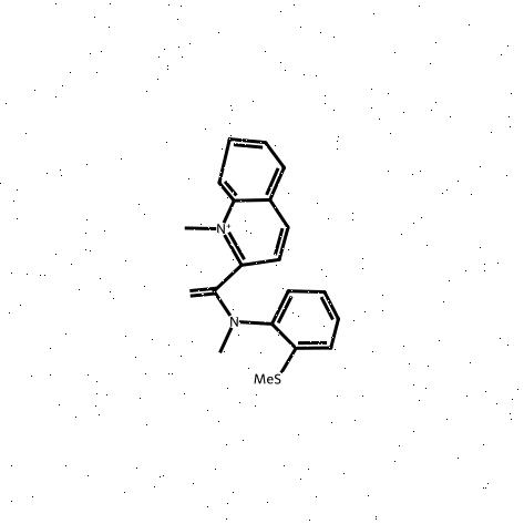 C=C(c1ccc2ccccc2[n+]1C)N(C)c1ccccc1SC